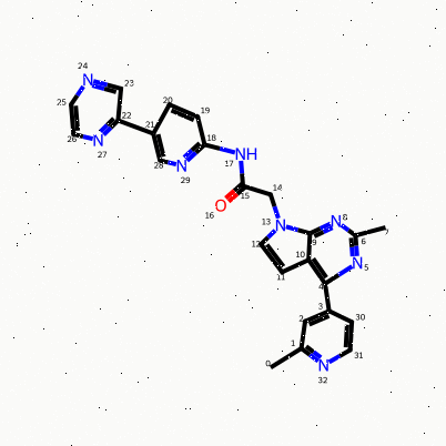 Cc1cc(-c2nc(C)nc3c2ccn3CC(=O)Nc2ccc(-c3cnccn3)cn2)ccn1